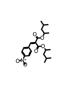 CC(C)CC(C)OC(=O)C(=Cc1ccc([N+](=O)[O-])cc1)C(=O)OC(C)CC(C)C